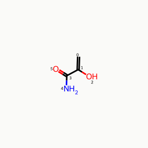 C=C(O)C(N)=O